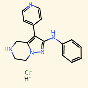 [Cl-].[H+].c1ccc(Nc2nn3c(c2-c2ccncc2)CNCC3)cc1